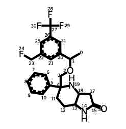 CC(OCC1(c2ccccc2)CCC2NC(=O)CC2N1)c1cc(CF)cc(C(F)(F)F)c1